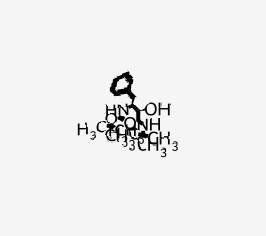 CC(C)(C)NC[C@H](O)[C@H](Cc1ccccc1)NC(=O)OC(C)(C)C